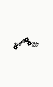 COc1ccc(-c2cccc(CNCCCNc3nsc4ccccc34)c2)cc1OC